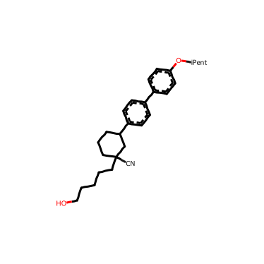 CCCC(C)Oc1ccc(-c2ccc(C3CCCC(C#N)(CCCCCO)C3)cc2)cc1